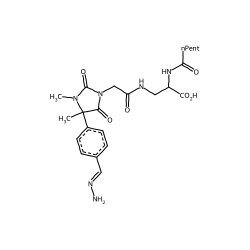 CCCCCC(=O)NC(CNC(=O)CN1C(=O)N(C)C(C)(c2ccc(C=NN)cc2)C1=O)C(=O)O